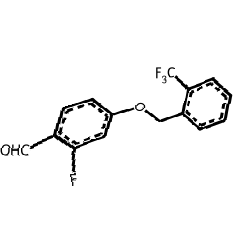 O=Cc1ccc(OCc2ccccc2C(F)(F)F)cc1F